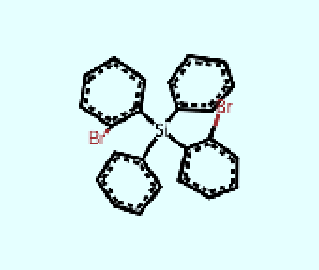 Brc1ccccc1[Si](c1ccccc1)(c1ccccc1)c1ccccc1Br